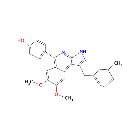 COc1cc2c(-c3ccc(O)cc3)nc3[nH]nc(Cc4cccc(C)c4)c3c2cc1OC